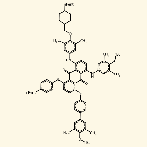 CCCCCc1ccc(Sc2ccc(Sc3ccc(-c4cc(C)c(OCCCC)c(C)c4)cc3)c3c2C(=O)c2c(Nc4cc(C)c(OCC5CCC(CCCCC)CC5)c(C)c4)ccc(Nc4cc(C)c(OCCCC)c(C)c4)c2C3=O)nc1